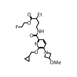 CCC(CCNC(=O)c1ccc(N2CC(OC)C2)c(OCC2CC2)n1)C(=O)OCCF